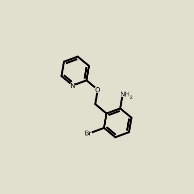 Nc1cccc(Br)c1COc1ccccn1